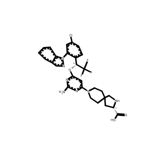 Nc1nc(O[C@H](c2ccc(Cl)cc2-n2ncc3ccccc32)C(F)(F)F)cc(N2CCC3(CC2)CN[C@H](C(=O)O)C3)n1